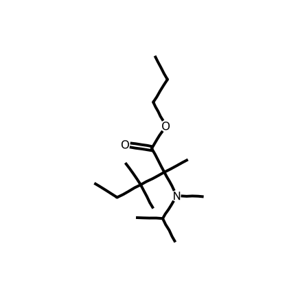 CCCOC(=O)C(C)(N(C)C(C)C)C(C)(C)CC